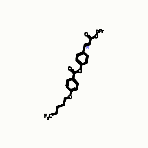 [CH2]CCOC(=O)/C=C/c1ccc(OC(=O)c2ccc(OCCCCC(F)(F)F)cc2)cc1